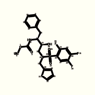 CC(C)(C)OC(=O)N[C@@H](Cc1ccccc1)[C@@H](O)CN(Cc1cccs1)S(=O)(=O)c1cc(F)c(F)cc1F